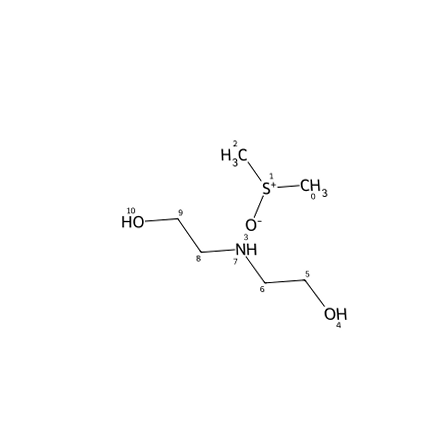 C[S+](C)[O-].OCCNCCO